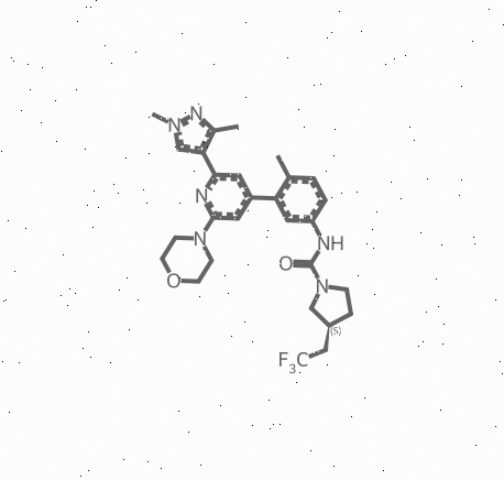 Cc1ccc(NC(=O)N2CC[C@@H](CC(F)(F)F)C2)cc1-c1cc(-c2cn(C)nc2C)nc(N2CCOCC2)c1